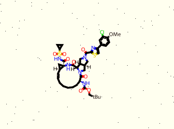 COc1ccc(-c2csc(C(=O)N3C[C@H]4CN5C(=O)[C@@H](NC(=O)OCC(C)(C)C)CCCCC/C=C\[C@H]6C[C@@]6(C(=O)NS(=O)(=O)C6CC6)NC(=O)[C@@H]5[C@H]4C3)n2)cc1Cl